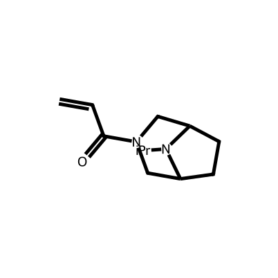 C=CC(=O)N1CC2CCC(C1)N2C(C)C